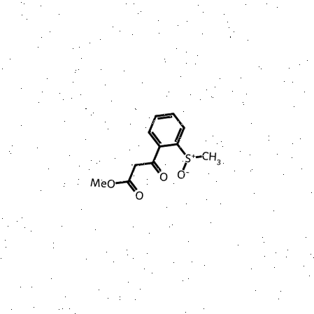 COC(=O)[CH]C(=O)c1ccccc1[S+](C)[O-]